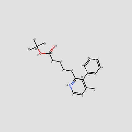 Cc1ccnc(CCCCC(=O)OC(C)(C)C)c1-c1ccccc1